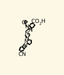 N#Cc1ccc2c(c1)CN(c1cccc(N3CCN(Cc4nc5ccc(C(=O)O)cc5n4C[C@@H]4CCO4)CC3)n1)C2